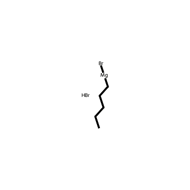 Br.CCCC[CH2][Mg][Br]